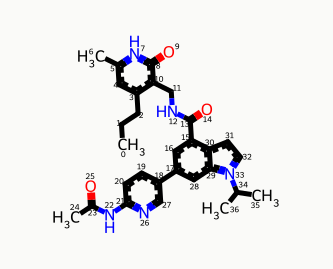 CCCc1cc(C)[nH]c(=O)c1CNC(=O)c1cc(-c2ccc(NC(C)=O)nc2)cc2c1ccn2C(C)C